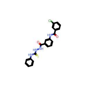 O=C(NNC(=S)Nc1ccccc1)c1cccc(NC(=O)c2cccc(Cl)c2)c1